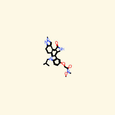 CON(C)C(=O)COc1ccc2c(c1)c1c3c(c4c(c1n2CC(C)C)CCc1nn(C)cc1-4)C(=O)NC3